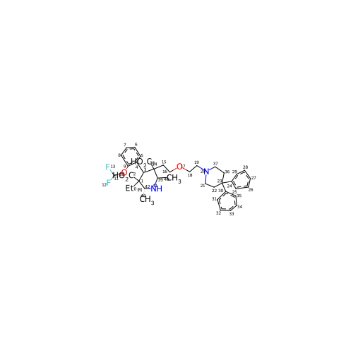 CCC1(C(=O)O)C(c2ccccc2OC(F)F)C(CCOCCN2CCC(c3ccccc3)(c3ccccc3)CC2)(C(=O)O)C(C)N[C@@H]1C